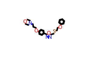 c1ccc(OCCSCc2nnc(-c3ccc(OCCCN4CCOCC4)cc3)o2)cc1